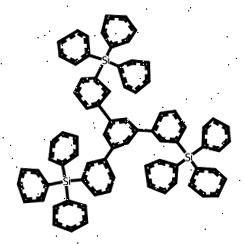 c1ccc([Si](c2ccccc2)(c2ccccc2)c2cccc(-c3cc(-c4cccc([Si](c5ccccc5)(c5ccccc5)c5ccccc5)c4)cc(-c4cccc([Si](c5ccccc5)(c5ccccc5)c5ccccc5)c4)c3)c2)cc1